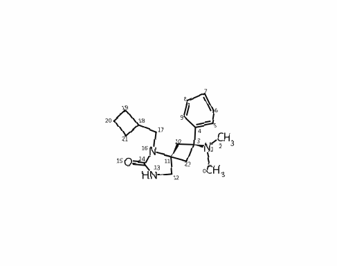 CN(C)[C@]1(c2ccccc2)C[C@]2(CNC(=O)N2CC2CCC2)C1